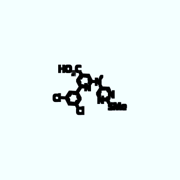 CSc1ncc(N(C)c2cc(C(=O)O)cc(-c3cc(Cl)cc(Cl)c3)n2)cn1